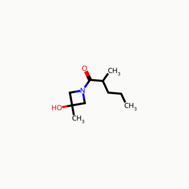 CCCC(C)C(=O)N1CC(C)(O)C1